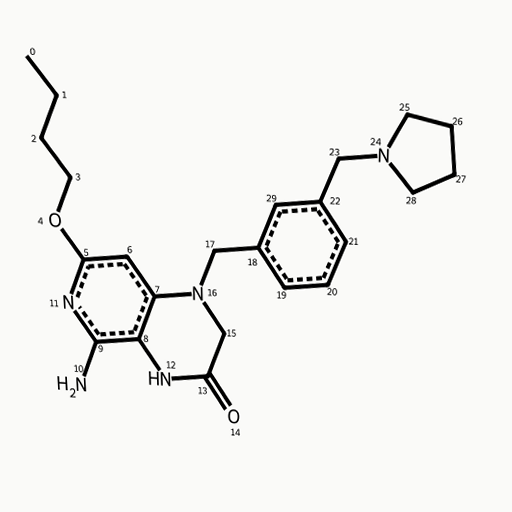 CCCCOc1cc2c(c(N)n1)NC(=O)CN2Cc1cccc(CN2CCCC2)c1